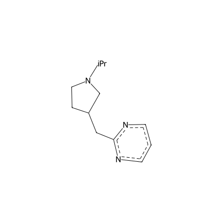 CC(C)N1CCC(Cc2ncccn2)C1